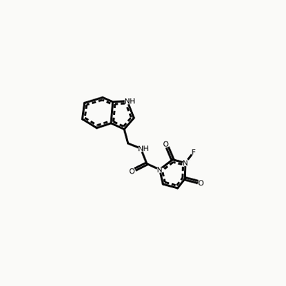 O=C(NCc1c[nH]c2ccccc12)n1ccc(=O)n(F)c1=O